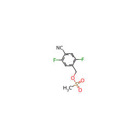 CS(=O)(=O)OCc1cc(F)c(C#N)cc1F